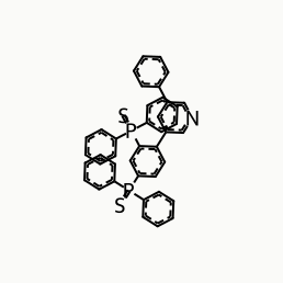 S=P(c1ccccc1)(c1ccccc1)c1ccc(-c2cncc(-c3ccccc3)c2)c(P(=S)(c2ccccc2)c2ccccc2)c1